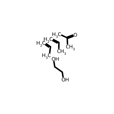 C=CC.C=CC.CC(C)=O.OCCO